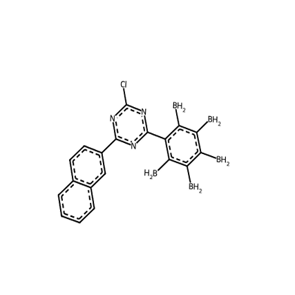 Bc1c(B)c(B)c(-c2nc(Cl)nc(-c3ccc4ccccc4c3)n2)c(B)c1B